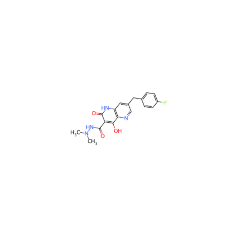 CN(C)NC(=O)c1c(O)c2ncc(Cc3ccc(F)cc3)cc2[nH]c1=O